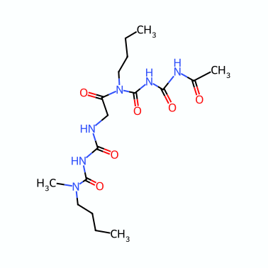 CCCCN(C)C(=O)NC(=O)NCC(=O)N(CCCC)C(=O)NC(=O)NC(C)=O